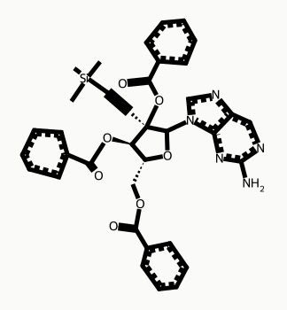 C[Si](C)(C)C#C[C@]1(OC(=O)c2ccccc2)C(n2cnc3cnc(N)nc32)O[C@H](COC(=O)c2ccccc2)[C@H]1OC(=O)c1ccccc1